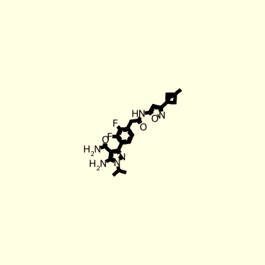 CC(C)n1nc(-c2ccc(CC(=O)Nc3cc(C45CC(C)(C4)C5)no3)c(F)c2F)c(C(N)=O)c1N